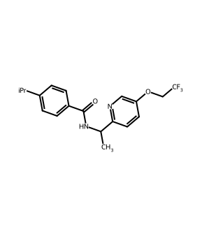 CC(C)c1ccc(C(=O)NC(C)c2ccc(OCC(F)(F)F)cn2)cc1